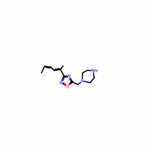 C/C=C\C=C(/C)c1noc(CN2CCNCC2)n1